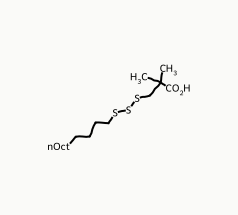 CCCCCCCCCCCCSSSCC(C)(C)C(=O)O